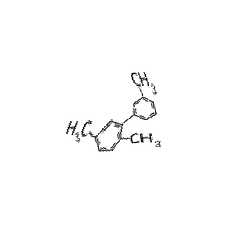 Cc1cccc(-c2cc(C)ccc2C)c1